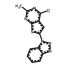 Cc1nc(Cl)c2cc(-n3nnc4ccccc43)sc2n1